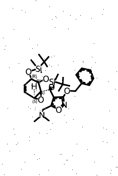 CN(C)Cc1onc(OCc2ccccc2)c1C(=O)[C@]12O[C@H]1C=C[C@@H](O[Si](C)(C)C(C)(C)C)[C@H]2O[Si](C)(C)C(C)(C)C